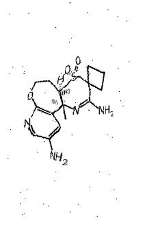 C[C@]12N=C(N)C3(CCC3)S(=O)(=O)[C@@H]1CCOc1ncc(N)cc12